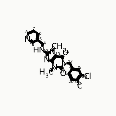 Cn1c(NCc2cccnc2)nc2c1c(=O)n(Cc1ccc(Cl)c(Cl)c1)c(=O)n2C